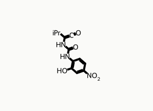 CC(C)C(=C=O)NC(=O)Nc1ccc([N+](=O)[O-])cc1O